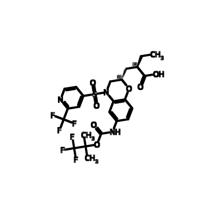 CC[C@H](C[C@H]1CN(S(=O)(=O)c2ccnc(C(F)(F)F)c2)c2cc(NC(=O)OC(C)(C)C(F)(F)F)ccc2O1)C(=O)O